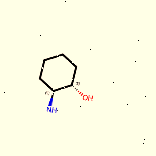 [NH][C@H]1CCCC[C@@H]1O